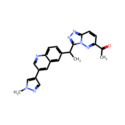 CC(=O)c1ccc2nnc(C(C)c3ccc4ncc(-c5cnn(C)c5)cc4c3)n2n1